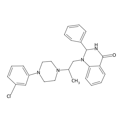 CC(CN1c2ccccc2C(=O)NC1c1ccccc1)N1CCN(c2cccc(Cl)c2)CC1